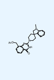 CC(=O)OCc1cccc2c(=O)[nH]c(N3CCC4(CC3)CN(C)c3ccccc34)nc12